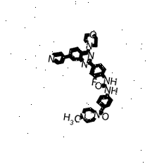 CN1CCN(C(=O)c2ccc(NC(=O)Nc3ccc(-c4nc(N5CCOCC5)c5ccc(-c6ccncc6)cc5n4)cc3F)cc2)CC1